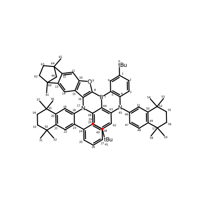 CC(C)(C)c1ccc2c(c1)B1c3oc4cc5c(cc4c3N(c3cc4c(cc3-c3ccccc3)C(C)(C)CCC4(C)C)c3cc(C(C)(C)C)cc(c31)N2c1ccc2c(c1)C(C)(C)CCC2(C)C)C1(C)CCC5(C)C1